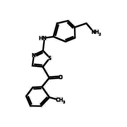 Cc1ccccc1C(=O)c1cnc(Nc2ccc(CN)cc2)s1